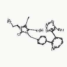 CCCCc1c(C)n(CCC(C)C)c(=O)n1Cc1ccc(-c2ncccc2-c2nnn[nH]2)cc1